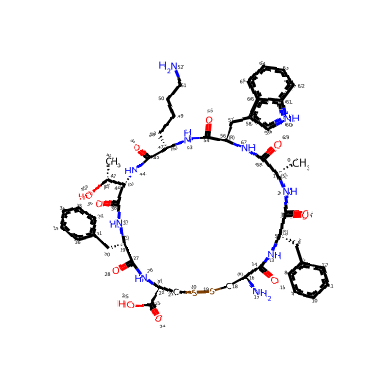 C[C@@H]1NC(=O)[C@H](Cc2ccccc2)NC(=O)[C@@H](N)CSSC[C@@H](C(=O)O)NC(=O)[C@H](Cc2ccccc2)NC(=O)[C@H]([C@@H](C)O)NC(=O)[C@H](CCCCN)NC(=O)[C@@H](Cc2c[nH]c3ccccc23)NC1=O